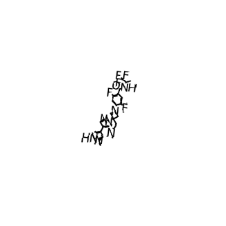 CC(NC(=O)c1cc(F)c(N2CC(CC#N)(n3cc(-c4cn[nH]c4)cn3)C2)cc1F)C(F)(F)F